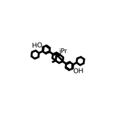 CC(C)C12CC3(C)CC(c4ccc(O)c(C5CCCCC5)c4)(CC(c4ccc(O)c(C5CCCCC5)c4)(C3)C1)C2